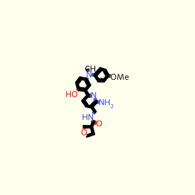 COc1ccc(N(C)c2ccc(O)c(-c3ccc(CNC(=O)C4CCOC4)c(N)n3)c2)cc1